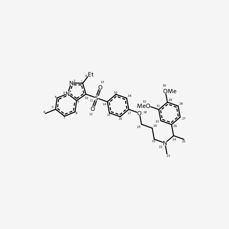 CCc1nn2cc(C)ccc2c1S(=O)(=O)c1ccc(OCCCN(C)C(C)c2ccc(OC)c(OC)c2)cc1